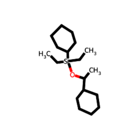 CC[Si](CC)(OC(C)C1CCCCC1)C1CCCCC1